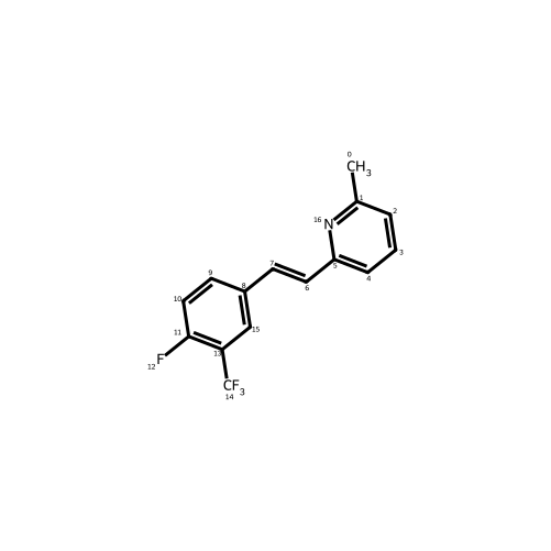 Cc1cccc(/C=C/c2ccc(F)c(C(F)(F)F)c2)n1